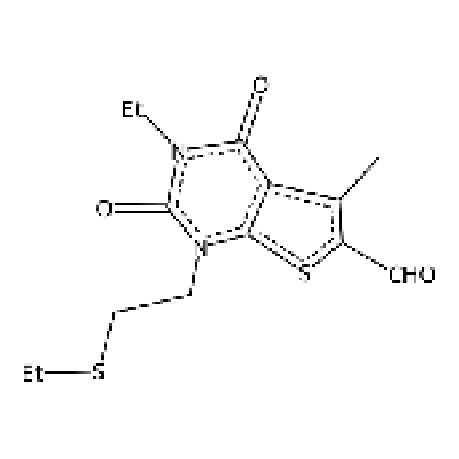 CCSCCn1c(=O)n(CC)c(=O)c2c(C)c(C=O)sc21